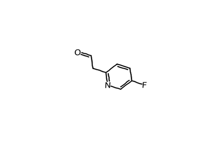 O=CCc1ccc(F)cn1